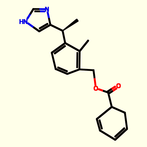 Cc1c(COC(=O)C2C=CC=CC2)cccc1[C@H](C)c1c[nH]cn1